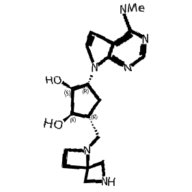 CNc1ncnc2c1ccn2[C@@H]1C[C@H](CN2CCC23CNC3)[C@@H](O)[C@H]1O